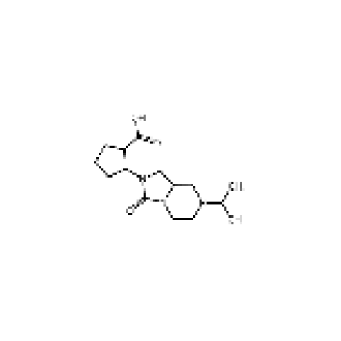 CC(C)N1CCN2C(=O)N(C3CCCC3C(=O)O)CC2C1